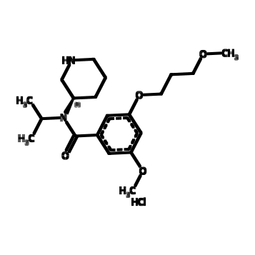 COCCCOc1cc(OC)cc(C(=O)N(C(C)C)[C@@H]2CCCNC2)c1.Cl